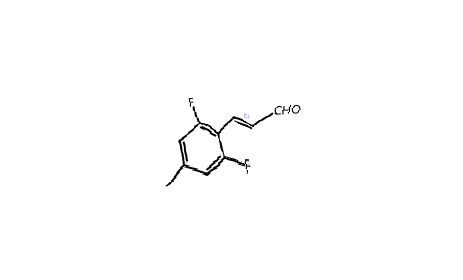 Cc1cc(F)c(/C=C/C=O)c(F)c1